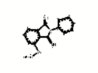 CCCCCOc1cccc2c1C(=N)N(c1ccccc1)C2=N